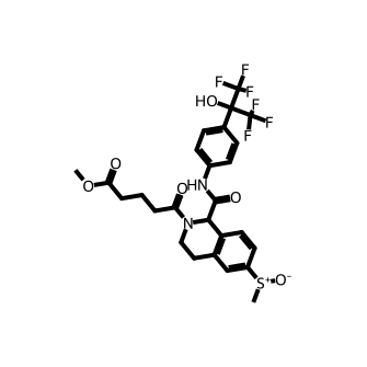 COC(=O)CCCC(=O)N1CCc2cc([S+](C)[O-])ccc2C1C(=O)Nc1ccc(C(O)(C(F)(F)F)C(F)(F)F)cc1